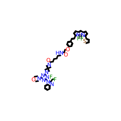 O=C(COc1ccc(/C=C/C2=[N+]3C(=Cc4ccc(-c5cccs5)n4[B-]3(F)F)C=C2)cc1)NCCCCCC(=O)N1CC2(C1)CN(c1nc(N3CCOCC3)nc(-n3c(C(F)F)nc4ccccc43)n1)C2